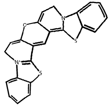 C1=C2OC3=CCN4C(=C3C=C2c2sc3ccccc3[n+]2C1)Sc1ccccc14